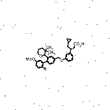 COc1ccc(F)c(-c2ccc(COc3cccc(C(CC(=O)O)CC4CC4)c3)cc2C2OCCCC2(C)C)c1